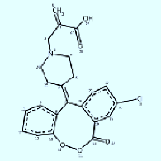 C=C(CN1CCC(=C2c3ccccc3OOC(=O)c3cc(Cl)ccc32)CC1)C(=O)O